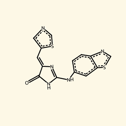 O=C1NC(Nc2ccc3ncsc3c2)=N/C1=C\c1cncs1